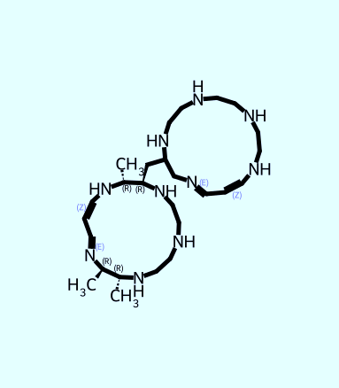 C[C@H]1/N=C/C=C\N[C@H](C)[C@@H](CC2C/N=C/C=C\NCCNCCNCCN2)NCCNCCN[C@@H]1C